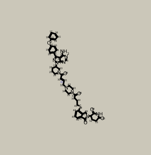 Nc1ncnc2c1c(-c1ccc(Oc3ccccc3)cc1)nn2C1CCCN(C(=O)/C=C/CN2CCN(C(=O)CCCSc3cccc4c3CN(C3CCC(=O)NC3=O)C4=O)CC2)C1